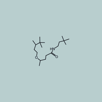 CC(CCC(=O)NCCC(C)(C)C)OCCC(C)C(C)(C)C